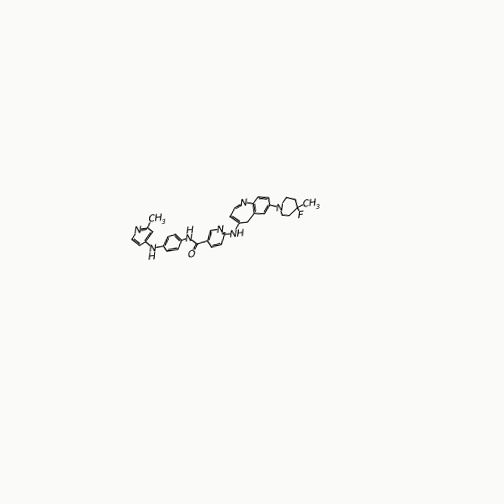 Cc1cc(Nc2ccc(NC(=O)c3ccc(NC4=CC=Nc5ccc(N6CCC(C)(F)CC6)cc5C4)nc3)cc2)ccn1